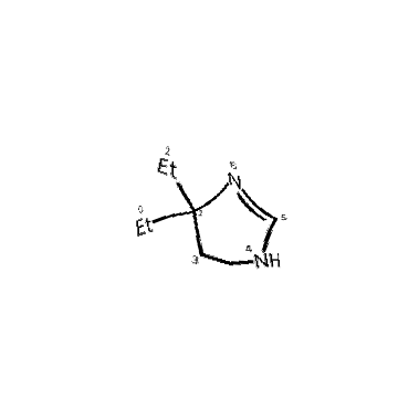 CCC1(CC)CNC=N1